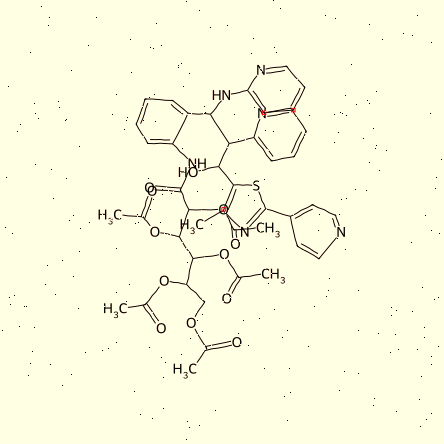 CC(=O)OCC(OC(C)=O)C(OC(C)=O)C(OC(C)=O)C(OC(C)=O)C(=O)Nc1ccccc1C(Nc1ccccn1)C(c1ccccn1)C(O)c1sc(-c2ccncc2)nc1C